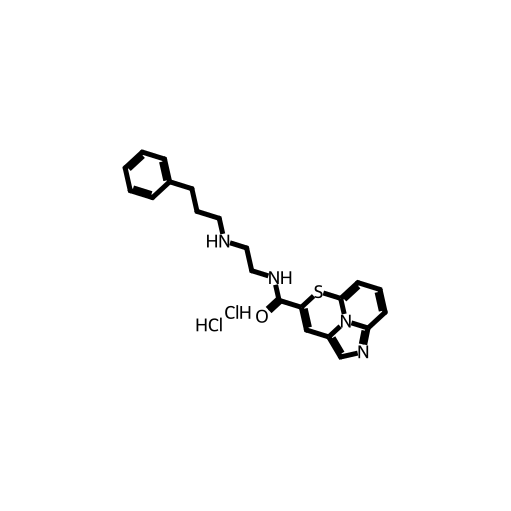 Cl.Cl.O=C(NCCNCCCc1ccccc1)C1=Cc2cnc3cccc(n23)S1